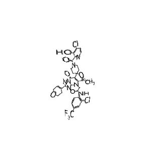 C[C@H]1OC2(CCN(C(=O)c3nccc(Cl)c3O)CC2)c2c1n(CC(=O)Nc1ccc(C(F)(F)F)cc1Cl)c1nc(C3=CCOCC3)nn1c2=O